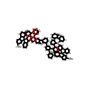 CC(C)(C)c1ccc2c(c1)C1(c3ccccc3-c3cc(N(c4ccc5sc6c(-c7ccc(-c8ccccc8)c(-c8ccccc8-c8ccccc8N(c8ccc9c(c8)-c8ccccc8C98c9cc(C(C)(C)C)ccc9-c9ccc(C(C)(C)C)cc98)c8cccc9sc%10ccccc%10c89)c7)cccc6c5c4)c4ccccc4-c4ccccc4-c4ccccc4-c4ccccc4)ccc31)c1cc(C(C)(C)C)ccc1-2